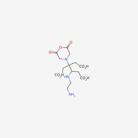 NCCNC(CC(=O)O)C(CC(=O)O)(CC(=O)O)N1CC(=O)OC(=O)C1